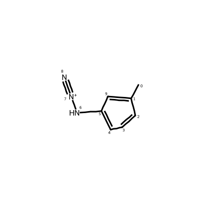 Cc1cccc(N[N+]#N)c1